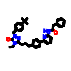 CCn1c(CCCc2ccc(-c3cccc(NC(=O)Cc4ccccc4)n3)cc2)nn(Cc2ccc(C(C)(C)C)cc2)c1=O